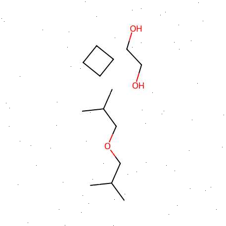 C1CCC1.CC(C)COCC(C)C.OCCO